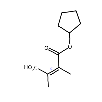 C/C(C(=O)O)=C(\C)C(=O)OC1CCCC1